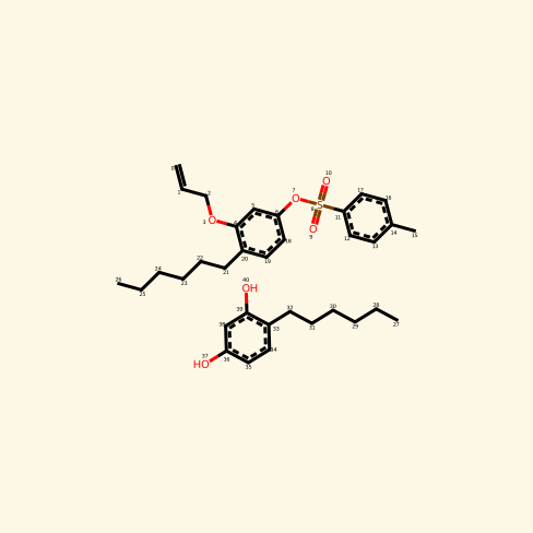 C=CCOc1cc(OS(=O)(=O)c2ccc(C)cc2)ccc1CCCCCC.CCCCCCc1ccc(O)cc1O